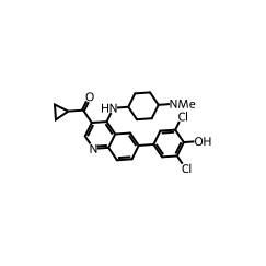 CNC1CCC(Nc2c(C(=O)C3CC3)cnc3ccc(-c4cc(Cl)c(O)c(Cl)c4)cc23)CC1